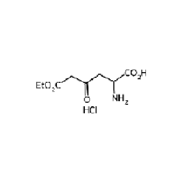 CCOC(=O)CC(=O)CC(N)C(=O)O.Cl